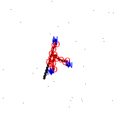 CCCCCCCCCCCC(=O)OCCOCC(OCCOCCOC(=O)n1ccnc1)[C@H]1OC[C@@H](OCCOCCOC(=O)n2ccnc2)[C@@H]1OCCOCCOC(=O)n1ccnc1